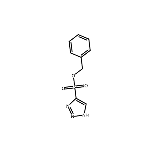 O=S(=O)(OCc1ccccc1)c1c[nH]nn1